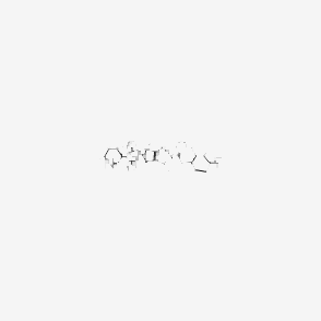 Cc1cc(F)ccc1CC(=O)N1CC2=C(C1)CN(S(=O)(=O)c1cccnc1)C2